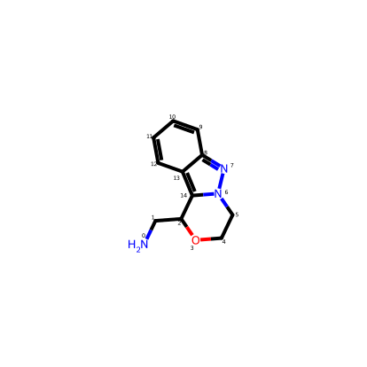 NCC1OCCn2nc3ccccc3c21